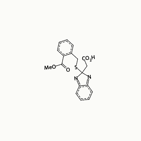 COC(=O)c1ccccc1CSC1(CC(=O)O)N=c2ccccc2=N1